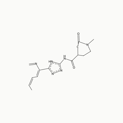 C=N/C(=C\C=C/C)c1nnc(NC(=O)C2CCN(C)C(=O)C2)[nH]1